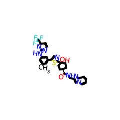 Cc1cc(Nc2nccc(C(F)(F)F)n2)cc(-c2cnc([C@]3(O)CC[C@H](C(=O)NCc4cn5ccccc5n4)CC3)s2)c1